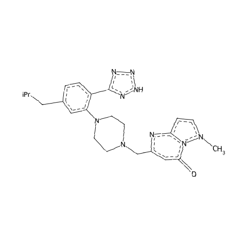 CC(C)Cc1ccc(-c2nn[nH]n2)c(N2CCN(Cc3cc(=O)n4c(ccn4C)n3)CC2)c1